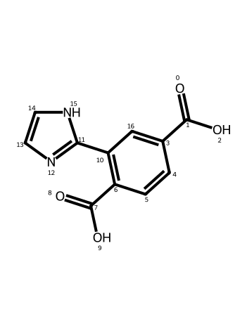 O=C(O)c1ccc(C(=O)O)c(-c2ncc[nH]2)c1